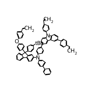 C=Cc1ccc(Oc2ccc(C3(c4ccc(C(C)(C)C)cc4)c4ccccc4-c4ccc(N(c5ccc(-c6ccccc6)cc5)c5ccc(-c6ccc7c(c6)c6cc(-c8ccc(C=C)cc8)ccc6n7-c6ccc(C=C)cc6)cc5)cc43)cc2)cc1